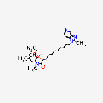 CCOC(=O)[C@H](CC(C)C)N(C)C(=O)CCCCCCCCCCn1c(C)nc2cnccc21